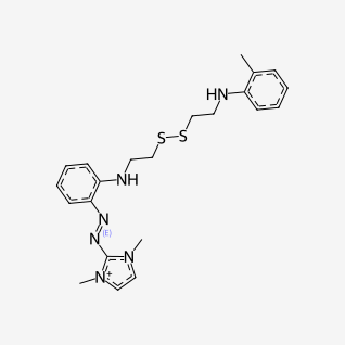 Cc1ccccc1NCCSSCCNc1ccccc1/N=N/c1n(C)cc[n+]1C